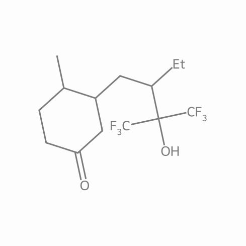 CCC(CC1CC(=O)CCC1C)C(O)(C(F)(F)F)C(F)(F)F